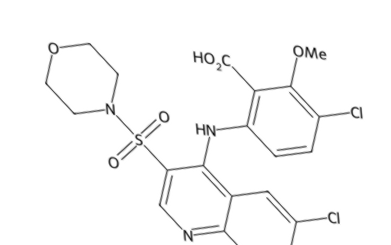 COc1c(Cl)ccc(Nc2c(S(=O)(=O)N3CCOCC3)cnc3ccc(Cl)cc23)c1C(=O)O